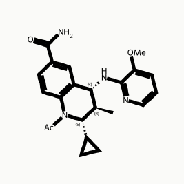 COc1cccnc1N[C@H]1c2cc(C(N)=O)ccc2N(C(C)=O)[C@@H](C2CC2)[C@@H]1C